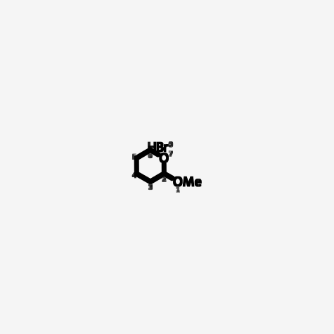 Br.COC1CCCCO1